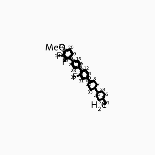 C=CC1CCC(C2CC=C(c3ccc(-c4ccc(-c5ccc(OC)c(F)c5F)cc4)c(F)c3)CC2)CC1